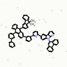 CC1(C)c2ccccc2-c2cc(-c3c4ccccc4c(-c4cccc(-c5ccccc5)c4)c4ccc(-c5cccc(-c6cccc(-c7ccc8c(c7)c7cccnc7n8-c7cc8ccccc8c8ccccc78)n6)c5)cc34)ccc21